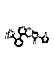 CCCCc1cn(-c2cccn2C)c(=O)n1Cc1cnccc1-c1ccccc1-c1nnn[nH]1